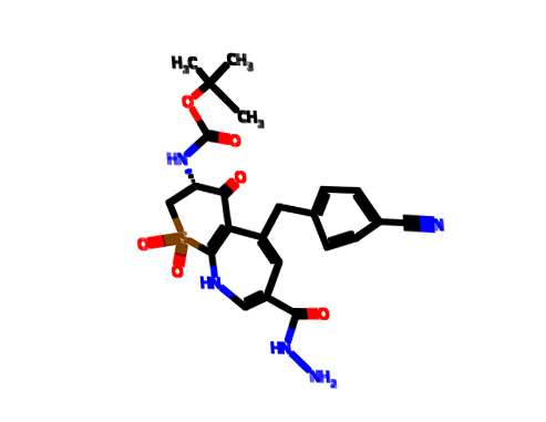 CC(C)(C)OC(=O)N[C@H]1CS(=O)(=O)C2=C(C1=O)C(Cc1ccc(C#N)cc1)=CC(C(=O)NN)=CN2